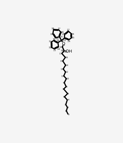 CCCCCCCCCCCCCCCCCC[C@H](O)COC(c1ccccc1)(c1ccccc1)c1ccccc1